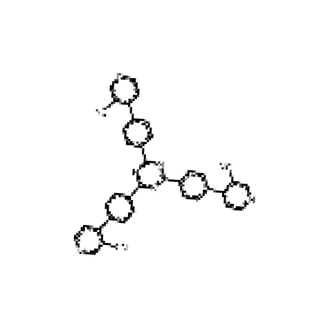 N#Cc1cnccc1-c1ccc(-c2nc(-c3ccc(-c4ccncc4C#N)cc3)nc(-c3ccc(-c4ccncc4C#N)cc3)n2)cc1